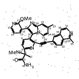 CNC(C)(C(N)=O)c1ccc(-c2c(-c3cccnc3OC)nc3cc(C)ccn23)c(C#Cc2ccc3c(C)nccc3c2)n1